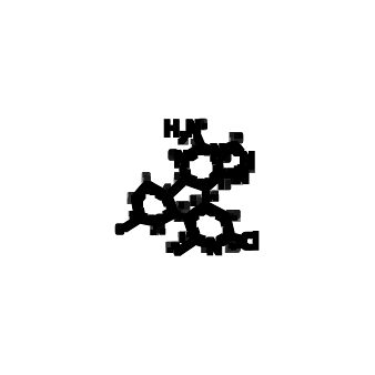 Cc1ccc(-c2nc(N)n3cnnc3c2-c2cc(C)nc(Cl)c2)cc1